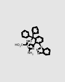 Nc1nc(-c2c(-n3nnc4ccccc43)cccc2C(ON=CC(=O)O)(c2ccccc2)c2ccccc2)cs1